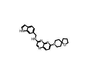 c1cc2ccc(CNc3cnc4ccc(N5CCC6(CCCO6)CC5)nc4n3)cc2[nH]1